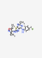 Cc1nc(Nc2ccc(CF)cc2)c2nc(Nc3c(C)noc3C)sc2n1